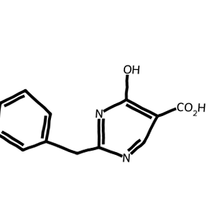 O=C(O)c1cnc(Cc2ccccc2)nc1O